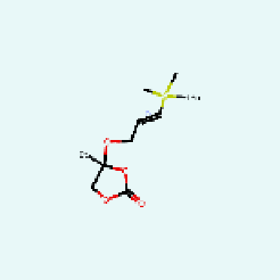 CCC1(OC/C=C/S(C)(C)C(C)(C)C)COC(=O)O1